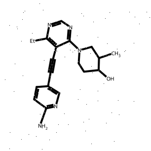 CCc1ncnc(N2CCC(O)C(C)C2)c1C#Cc1ccc(N)nc1